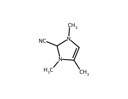 CC1=CN(C)C(C#N)N1C